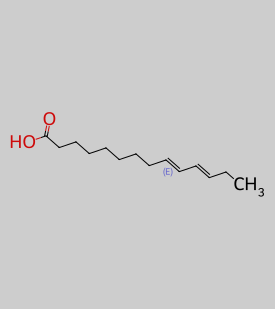 CCC=C/C=C/CCCCCCCC(=O)O